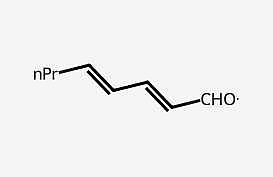 CCC/C=C/C=C/[C]=O